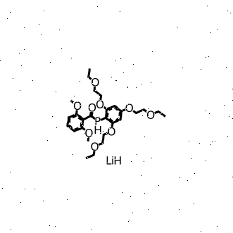 CCOCCOc1cc(OCCOCC)c(PC(=O)c2c(OC)cccc2OC)c(OCCOCC)c1.[LiH]